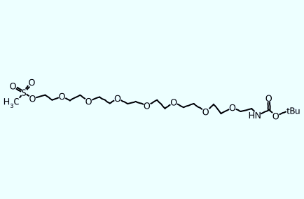 CC(C)(C)OC(=O)NCCOCCOCCOCCOCCOCCOCCOCCOS(C)(=O)=O